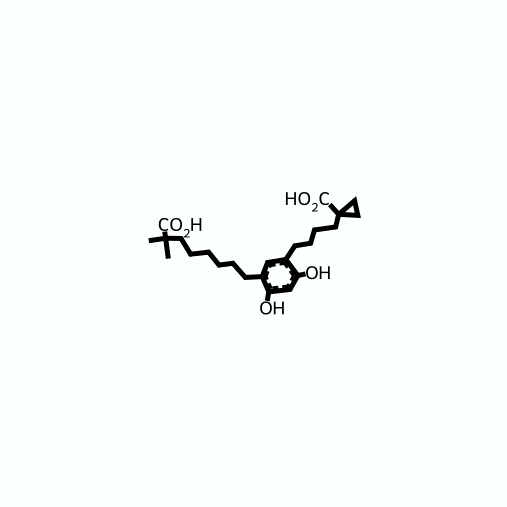 CC(C)(CCCCCCc1cc(CCCCC2(C(=O)O)CC2)c(O)cc1O)C(=O)O